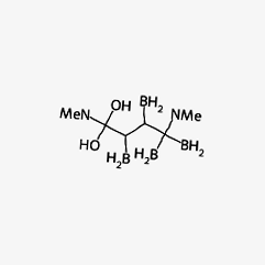 BC(C(B)C(O)(O)NC)C(B)(B)NC